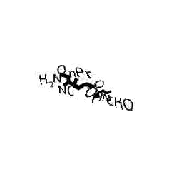 CCCC(C(N)=O)C(C)C(C)(C#N)CCC(=O)OC(C)CC(C)NC=O